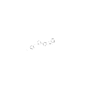 Cn1c(Cc2ccc(-c3cccc(OCc4ccc(C#N)cc4F)n3)cc2F)nc2ccc(C(=O)O)cc21